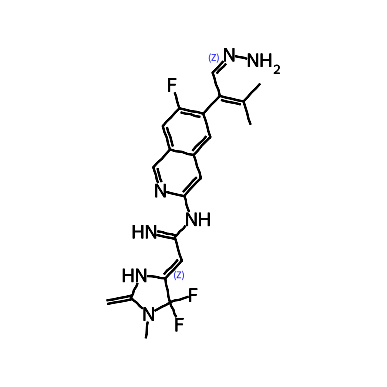 C=C1N/C(=C\C(=N)Nc2cc3cc(C(/C=N\N)=C(C)C)c(F)cc3cn2)C(F)(F)N1C